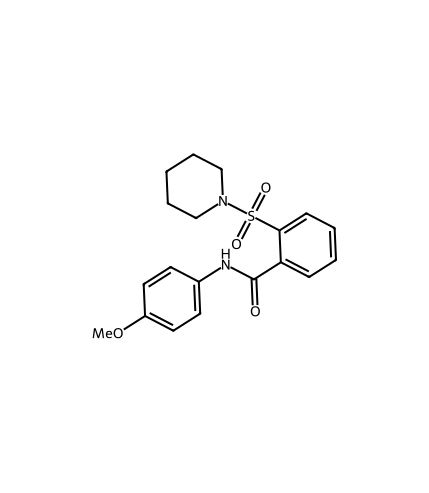 COc1ccc(NC(=O)c2ccccc2S(=O)(=O)N2CCCCC2)cc1